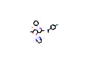 CCOc1ccc(Cl)cc1-n1c(C=C(C)C)c(C(=O)N2C[C@H]3CC[C@@H](C2)N3)cc(-c2nc(-c3ccc(C(F)F)cc3)cs2)c1=O